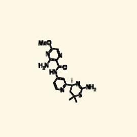 COc1cnc(C(=O)Nc2ccnc([C@]3(C)CC(C)(C)SC(N)=N3)c2)c(N)n1